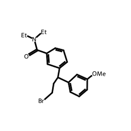 CCN(CC)C(=O)c1cccc(C(CCBr)c2cccc(OC)c2)c1